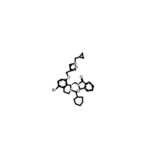 O=C1c2ccccc2CN1C[C@@H]1c2c(OCc3cn(CC4CC4)nn3)ccc(Br)c2CCN1C(=O)C1CCCCC1